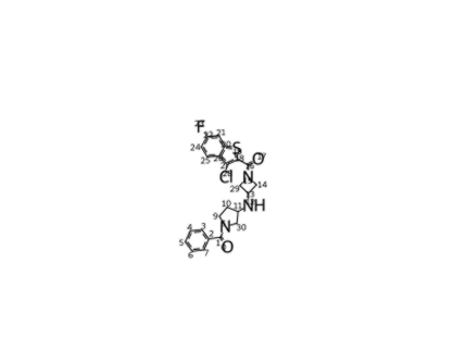 O=C(c1ccccc1)N1CCC(NC2CN(C(=O)c3sc4cc(F)ccc4c3Cl)C2)C1